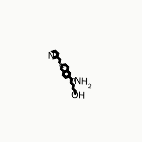 NC[C@H](CCCCO)c1ccc2c(c1)CC[C@H](CCc1cccnc1)C2